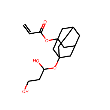 C=CC(=O)OC12CC3CC(C1)CC(OC(O)CCO)(C3)C2